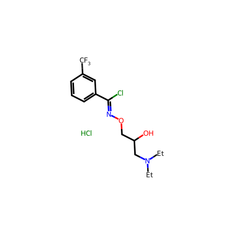 CCN(CC)CC(O)CON=C(Cl)c1cccc(C(F)(F)F)c1.Cl